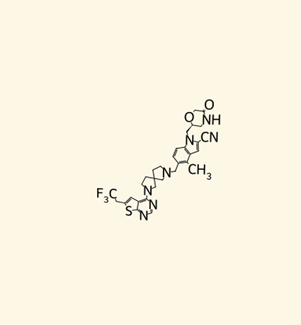 Cc1c(CN2CCC3(CCN(c4ncnc5sc(CC(F)(F)F)cc45)C3)C2)ccc2c1cc(C#N)n2C[C@@H]1CNC(=O)CO1